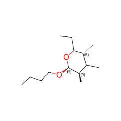 CCCCO[C@H]1OC(CC)[C@H](C)C(C)[C@H]1C